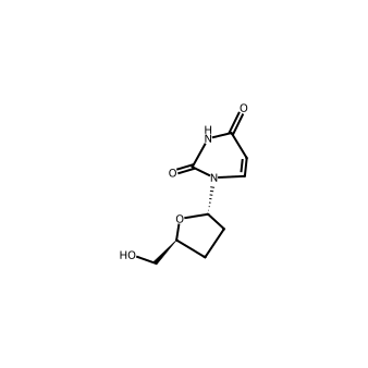 O=c1ccn([C@@H]2CC[C@@H](CO)O2)c(=O)[nH]1